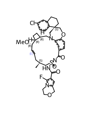 CO[C@H]1/C=C/C[C@H](C)CS(=O)(NC(=O)c2cc3n(c2F)CCOC3)=NC(=O)c2ccc3c(c2)N(C[C@@H]2CC[C@H]21)C[C@@]1(CCCc2cc(Cl)ccc21)CO3